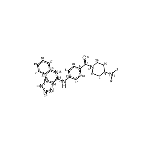 CN(C)C1CCN(C(=O)c2ccc(Nc3nc4ccccc4n4nnnc34)cc2)CC1